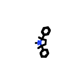 CN1C(C)(c2ccccc2)CCC1(C)c1ccccc1